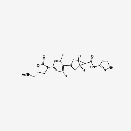 CC(=O)NC[C@H]1CN(c2cc(F)c(N3C[C@@H]4C(C(=O)Nc5cc[nH]n5)[C@@H]4C3)c(F)c2)C(=O)O1